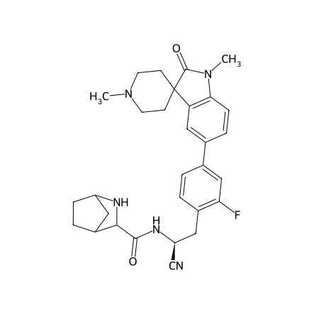 CN1CCC2(CC1)C(=O)N(C)c1ccc(-c3ccc(C[C@@H](C#N)NC(=O)C4NC5CCC4C5)c(F)c3)cc12